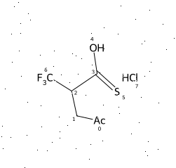 CC(=O)CC(C(O)=S)C(F)(F)F.Cl